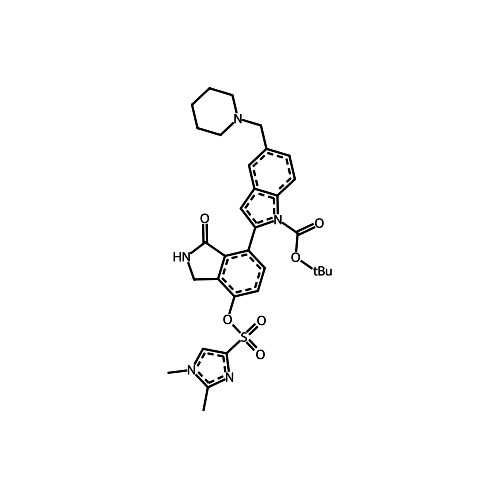 Cc1nc(S(=O)(=O)Oc2ccc(-c3cc4cc(CN5CCCCC5)ccc4n3C(=O)OC(C)(C)C)c3c2CNC3=O)cn1C